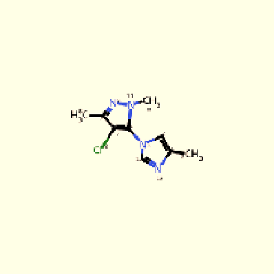 Cc1cn(-c2c(Cl)c(C)nn2C)cn1